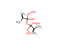 C=C(C)C(O)(OO)OC(OO)(OO)C(=C)C